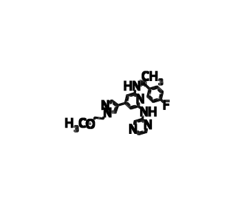 COCCn1cc(-c2cc(Nc3cnccn3)nc(N[C@@H](C)c3ccc(F)cc3)c2)cn1